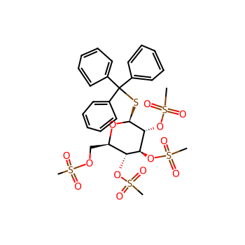 CS(=O)(=O)OC[C@H]1O[C@@H](SC(c2ccccc2)(c2ccccc2)c2ccccc2)[C@H](OS(C)(=O)=O)[C@@H](OS(C)(=O)=O)[C@@H]1OS(C)(=O)=O